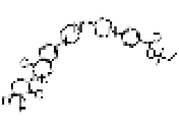 CCC(C)(C)OC(=O)c1ccc(N2CCC(CN3CCN(c4ccc5c(=O)n(C6CCC(=O)NC6=O)ncc5c4)CC3)CC2)cc1